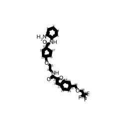 Nc1ccccc1NC(=O)c1ccc(OCCNC(=O)c2cc3ccc(COCC(F)(F)F)cc3o2)cc1